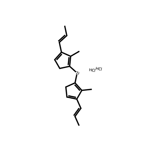 CC=CC1=CC[C]([Zr][C]2=C(C)C(C=CC)=CC2)=C1C.Cl.Cl